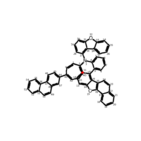 C1=CC(N(c2ccccc2-c2cccc3oc4c5ccccc5ccc4c23)c2cccc3oc4ccccc4c23)=CCC=C1c1ccc2c(ccc3ccccc32)c1